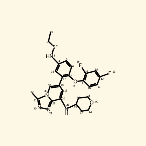 CCSNc1ccc(Oc2ccc(F)cc2F)c(-c2cc(NC3CCOCC3)c3nnc(C)n3c2)c1